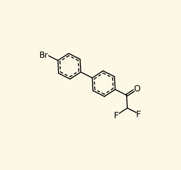 O=C(c1ccc(-c2ccc(Br)cc2)cc1)C(F)F